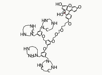 O=C(CCCOCCOCCOc1cc(COc2cc(CN3CCCCCNCCNCC3)cc(CN3CCNCCCCCNCC3)c2)cc(COc2cc(CN3CCCCCNCCNCC3)cc(CN3CCNCCCCCNCC3)c2)c1)c1ccc(-c2c3ccc(=O)cc-3oc3cc(O)ccc23)c(C(=O)O)c1